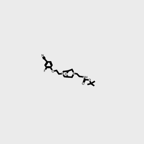 CC(C)(C)OC(=O)NCCN1CC2CN(CCOc3ccc(C#N)cc3F)CC(C1)O2